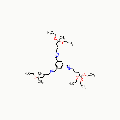 CCO[Si](C)(C)CCC/N=C/c1cc(/C=N/CCC[Si](C)(OCC)OCC)cc(/C=N/CCC[Si](OCC)(OCC)OCC)c1